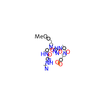 COc1ccc(CC2CCN(C(=O)c3ccc(C)c(NC(=O)c4ccc(NCC(C)(C)CN(C)C)nc4)c3)CC2)cc1.Cc1ccc(C(=O)N2CCC(c3ccc(S(C)(=O)=O)cc3)CC2)cc1NC(=O)c1cccnc1N(C)C